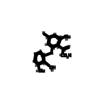 C=C(C(=O)O)c1c(Cc2cccc(C(C)(C)C)c2O)cc(C)cc1C(C)(C)C